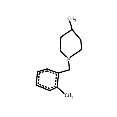 Cc1ccccc1CN1CCC(C)CC1